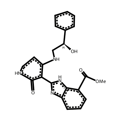 COC(=O)c1cccc2nc(-c3c(NC[C@H](O)c4ccccc4)cc[nH]c3=O)[nH]c12